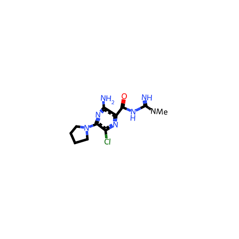 CNC(=N)NC(=O)c1nc(Cl)c(N2CCCC2)nc1N